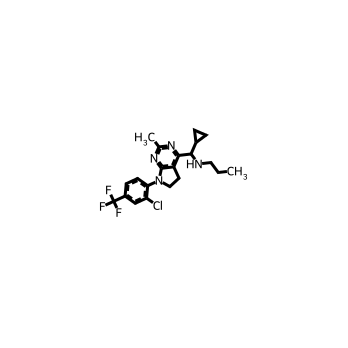 CCCNC(c1nc(C)nc2c1CCN2c1ccc(C(F)(F)F)cc1Cl)C1CC1